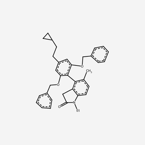 CCN1C(=O)Cc2c1ccc(C)c2-c1c(OCc2ccccc2)cc(CCC2CC2)cc1OCc1ccccc1